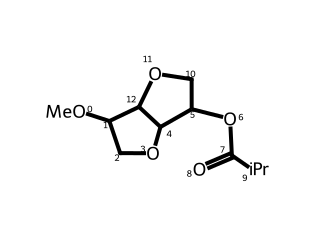 COC1COC2C(OC(=O)C(C)C)COC12